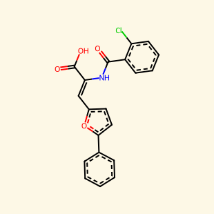 O=C(O)/C(=C/c1ccc(-c2ccccc2)o1)NC(=O)c1ccccc1Cl